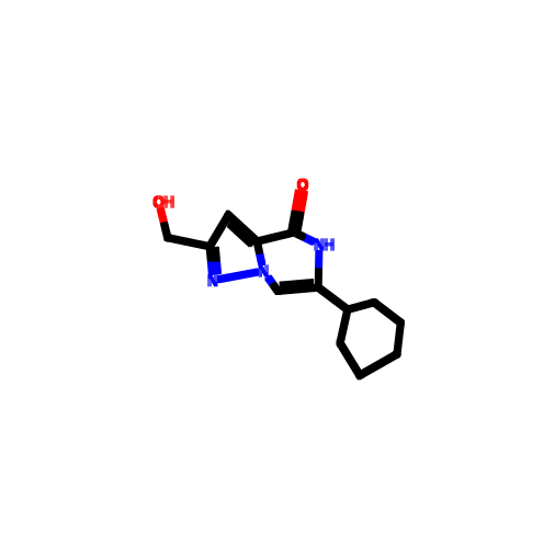 O=c1[nH]c(C2CCCCC2)cn2nc(CO)cc12